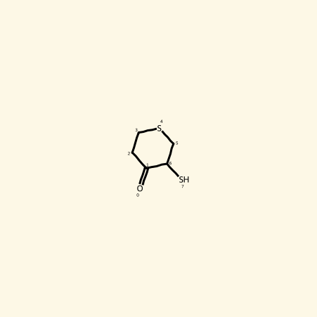 O=C1CCSCC1S